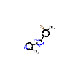 Cc1ccc(-c2nnc(-c3ccncc3C(F)(F)F)[nH]2)cc1Br